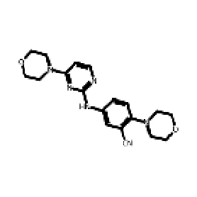 N#Cc1cc(Nc2nccc(N3CCOCC3)n2)ccc1N1CCOCC1